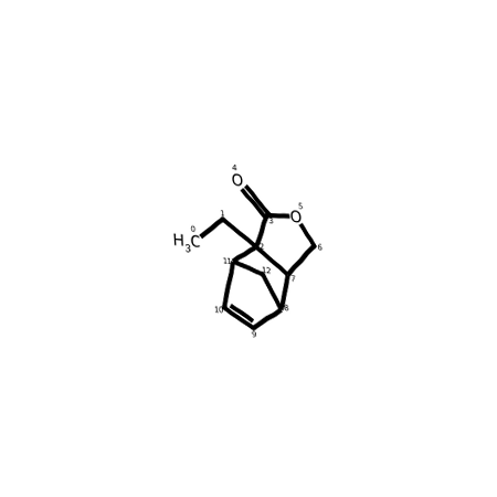 CCC12C(=O)OCC1C1C=CC2C1